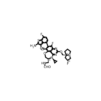 N#Cc1c(N)sc2c(F)ccc(-c3c(Cl)c4c5c(nc(OC[C@@]67CCCN6C[C@H](F)C7)nc5c3F)N(C3CC3)[C@@H](CNC=O)CO4)c12